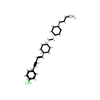 CCCC[C@H]1CC[C@H](CC[C@H]2CC[C@H](C=CC#Cc3ccc(Cl)cc3)CC2)CC1